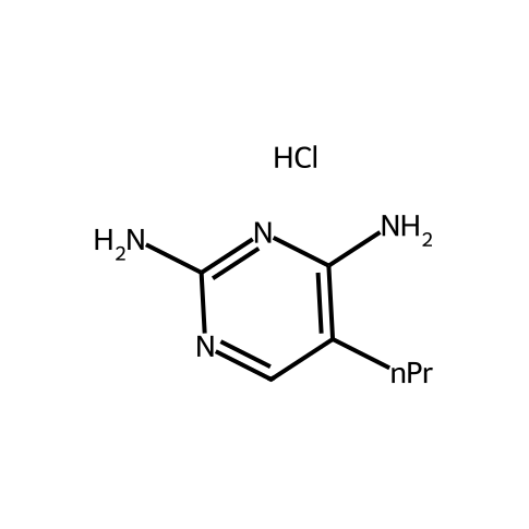 CCCc1cnc(N)nc1N.Cl